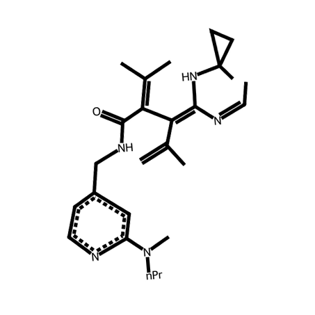 C=C(C)/C(C(C(=O)NCc1ccnc(N(C)CCC)c1)=C(C)C)=C(\N=C/C)NC1(C)CC1